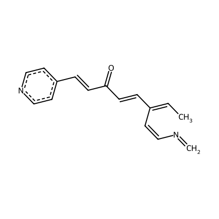 C=N\C=C/C(=C\C)/C=C/C(=O)/C=C/c1ccncc1